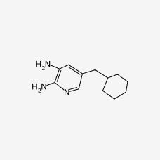 Nc1cc(CC2CCCCC2)cnc1N